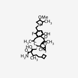 COC1CN(Cc2cc(O)c3c(c2F)CC(C)C[C@@H](C/C(O)=C(/C(N)=O)C(C)CCC2CCC2)[C@@]2(C)/C(=C(\C)C3=O)OC3CC32)CC1C